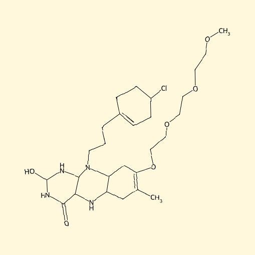 COCCOCCOCCOC1=C(C)CC2NC3C(=O)NC(O)NC3N(CCCC3=CCC(Cl)CC3)C2C1